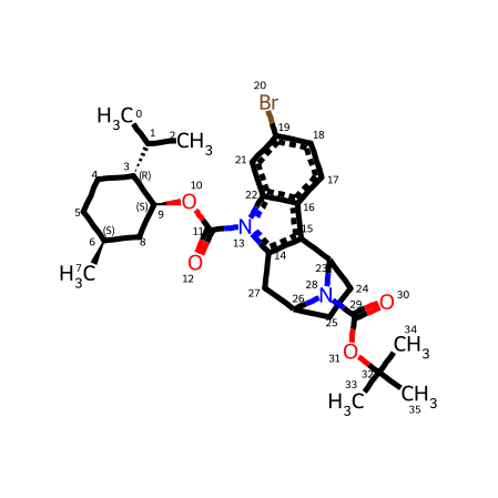 CC(C)[C@H]1CC[C@H](C)C[C@@H]1OC(=O)n1c2c(c3ccc(Br)cc31)C1CCC(C2)N1C(=O)OC(C)(C)C